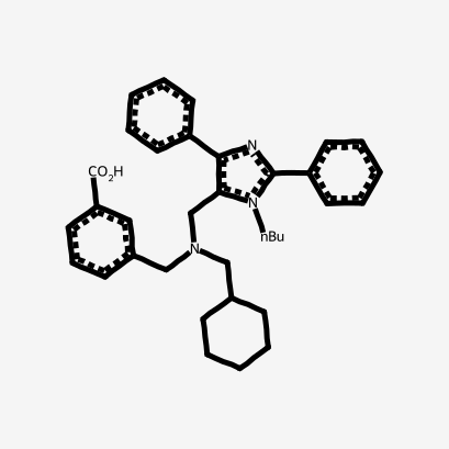 CCCCn1c(-c2ccccc2)nc(-c2ccccc2)c1CN(Cc1cccc(C(=O)O)c1)CC1CCCCC1